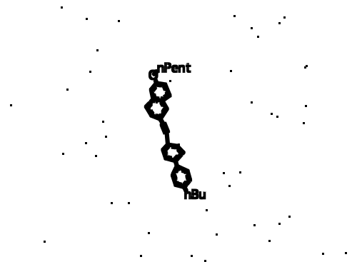 CCCCCOc1ccc2cc(C#Cc3ccc(-c4ccc(CCCC)cc4)cc3)ccc2c1